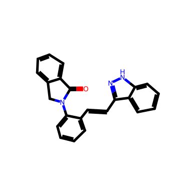 O=C1c2ccccc2CN1c1ccccc1C=Cc1n[nH]c2ccccc12